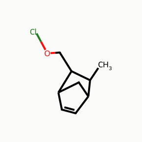 CC1C2C=CC(C2)C1COCl